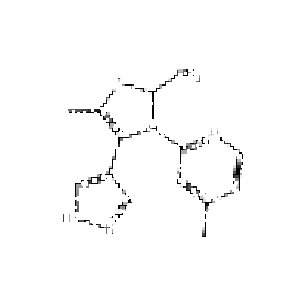 CC1=C(c2cn[nH]c2)N(c2cc(C)ccn2)C(N)S1